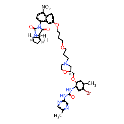 Cc1cnc(NC(=O)Nc2cc(Br)c(C)cc2OC[C@@H]2CN(CCCOCCCCOc3ccc4c([N+](=O)[O-])ccc(N5C(=O)[C@H]6[C@H]7CC[C@H](C7)N6C5=O)c4c3)CCO2)cn1